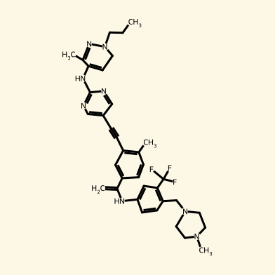 C=C(Nc1ccc(CN2CCN(C)CC2)c(C(F)(F)F)c1)c1ccc(C)c(C#Cc2cnc(NC3=CCN(CCC)N=C3C)nc2)c1